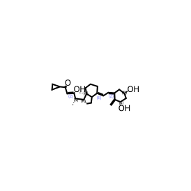 C=C1/C(=C\C=C2/CCC[C@@]3(C)C2CC[C@@H]3[C@H](C)/C(O)=C/C(=O)C2CC2)C[C@@H](O)C[C@@H]1O